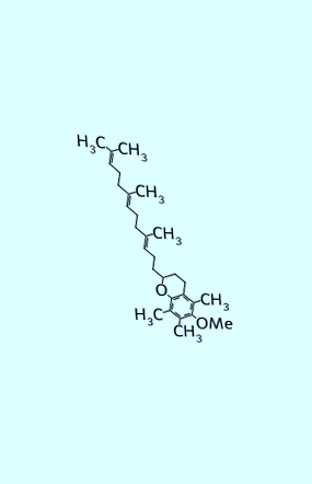 COc1c(C)c(C)c2c(c1C)CCC(CC/C=C(\C)CC/C=C(\C)CCC=C(C)C)O2